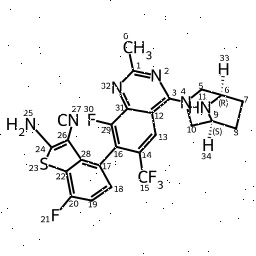 Cc1nc(N2C[C@H]3CC[C@@H](C2)N3)c2cc(C(F)(F)F)c(-c3ccc(F)c4sc(N)c(C#N)c34)c(F)c2n1